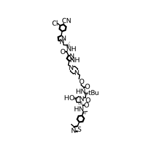 Cc1ncsc1-c1ccc([C@H](C)NC(=O)[C@@H]2C[C@@H](O)CN2C(=O)[C@@H](NC(=O)COCCN2CCN(Cc3cc(C(=O)N[C@@H](C)Cn4ccc(-c5ccc(C#N)c(Cl)c5)n4)n[nH]3)CC2)C(C)(C)C)cc1